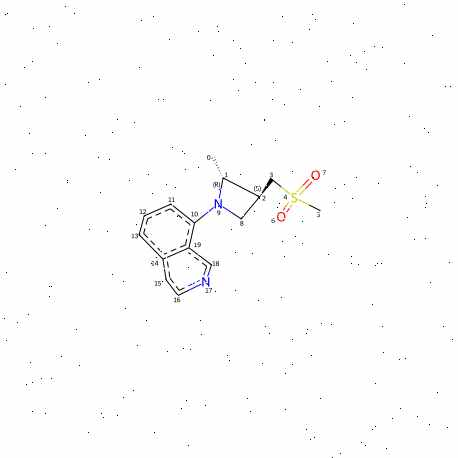 C[C@@H]1[C@@H](CS(C)(=O)=O)CN1c1cccc2ccncc12